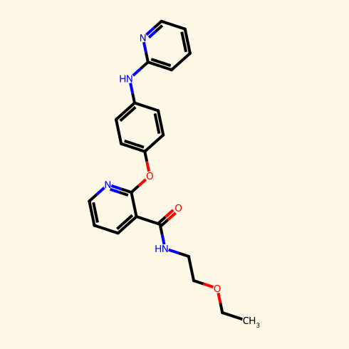 CCOCCNC(=O)c1cccnc1Oc1ccc(Nc2ccccn2)cc1